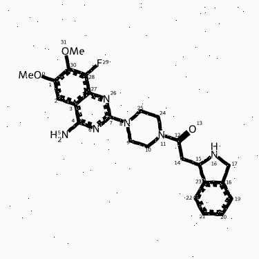 COc1cc2c(N)nc(N3CCN(C(=O)CC4NCc5ccccc54)CC3)nc2c(F)c1OC